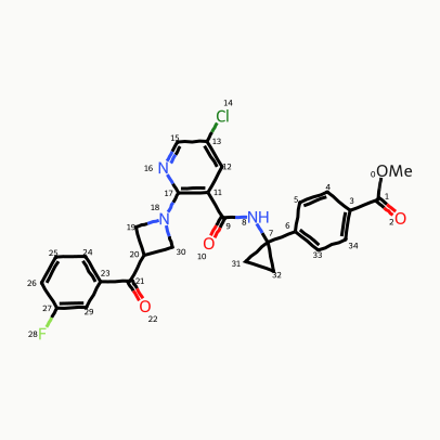 COC(=O)c1ccc(C2(NC(=O)c3cc(Cl)cnc3N3CC(C(=O)c4cccc(F)c4)C3)CC2)cc1